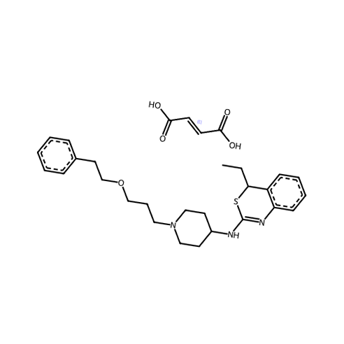 CCC1SC(NC2CCN(CCCOCCc3ccccc3)CC2)=Nc2ccccc21.O=C(O)/C=C/C(=O)O